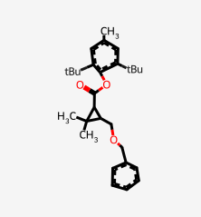 Cc1cc(C(C)(C)C)c(OC(=O)C2C(COCc3ccccc3)C2(C)C)c(C(C)(C)C)c1